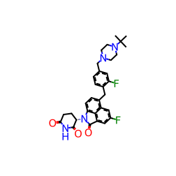 CC(C)(C)N1CCN(Cc2ccc(Cc3ccc4c5c(cc(F)cc35)C(=O)N4[C@H]3CCC(=O)NC3=O)c(F)c2)CC1